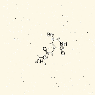 CCOC(=O)Cc1cc(Br)c[nH]c1=O